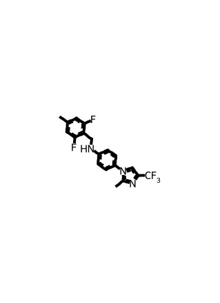 Cc1cc(F)c(CNc2ccc(-n3cc(C(F)(F)F)nc3C)cc2)c(F)c1